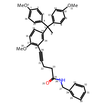 COc1ccc(C(C)(c2ccc(OC)cc2)c2ccc(OC)c(C#CCCC(=O)NCc3ccccc3)c2)cc1